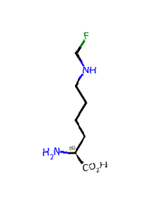 N[C@@H](CCCCNCF)C(=O)O